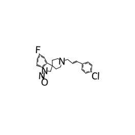 O=NN1CC2(CCN(CC=Cc3ccc(Cl)cc3)CC2)c2cc(F)ccc21